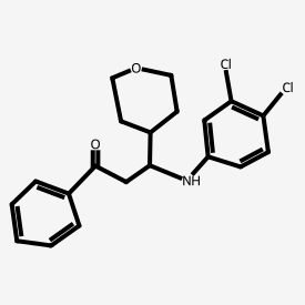 O=C(CC(Nc1ccc(Cl)c(Cl)c1)C1CCOCC1)c1ccccc1